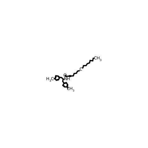 CCCCCCCCCCCCCCCC#CC(=O)NC(Cc1ccc(C)cc1)Cc1ccc(C)cc1